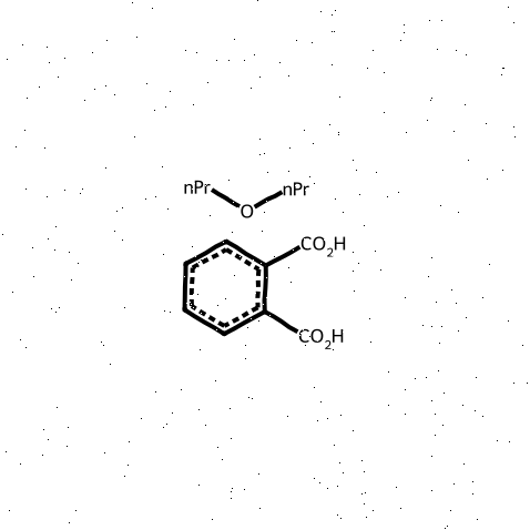 CCCOCCC.O=C(O)c1ccccc1C(=O)O